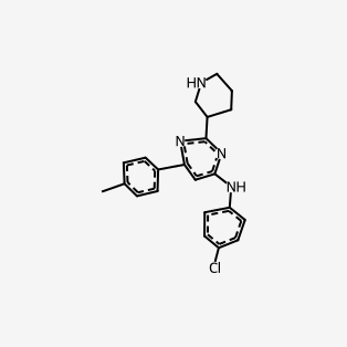 Cc1ccc(-c2cc(Nc3ccc(Cl)cc3)nc(C3CCCNC3)n2)cc1